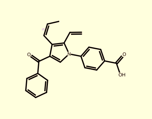 C=Cc1c(/C=C\C)c(C(=O)c2ccccc2)cn1-c1ccc(C(=O)O)cc1